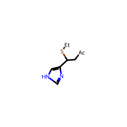 CCSC(CC(C)=O)c1c[nH]cn1